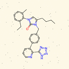 CCCCc1cn(-c2c(C)cccc2CC)c(=O)n1Cc1ccc(-c2cccnc2-c2nnn[nH]2)cc1